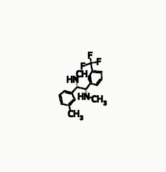 CN[C@@H](c1cccc(C)c1)[C@@H](NC)c1cccc(C(F)(F)F)c1